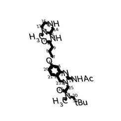 CC(=O)NC1=Nc2cc(OCCCC(=O)NC3CNCCN3C)ccc2CN1CC(=O)N(C)CC(C)(C)C